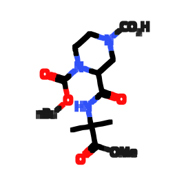 CCCCOC(=O)N1CCN(C(=O)O)CC1C(=O)NC(C)(C)C(=O)OC